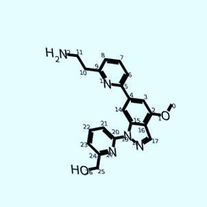 COc1cc(-c2cccc(CCN)n2)cc2c1cnn2-c1cccc(CO)n1